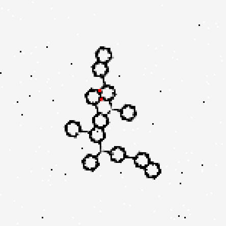 c1ccc(-c2cc3c(-c4ccccc4)cc(N(c4ccccc4)c4ccc(-c5ccc6ccccc6c5)cc4)cc3cc2N(c2ccccc2)c2ccc(-c3ccc4ccccc4c3)cc2)cc1